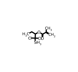 C=C(C)C(=O)OC(CC)C([SiH3])(Cl)Cl